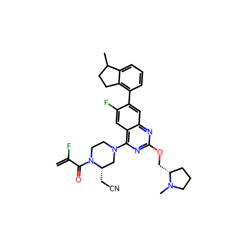 C=C(F)C(=O)N1CCN(c2nc(OC[C@@H]3CCCN3C)nc3cc(-c4cccc5c4CCC5C)c(F)cc23)C[C@@H]1CC#N